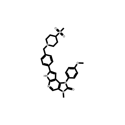 COc1ccc(-n2c(=O)n(C)c3cnc4[nH]c(-c5ccc(CN6CCC(S(C)(=O)=O)CC6)cc5)cc4c32)cc1